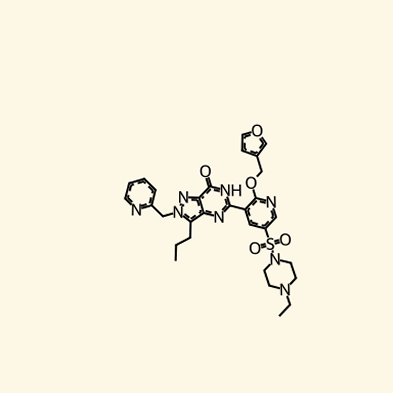 CCCc1c2nc(-c3cc(S(=O)(=O)N4CCN(CC)CC4)cnc3OCc3ccoc3)[nH]c(=O)c2nn1Cc1ccccn1